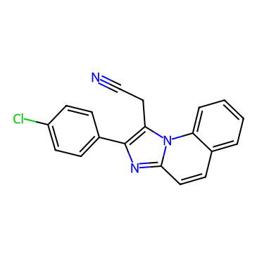 N#CCc1c(-c2ccc(Cl)cc2)nc2ccc3ccccc3n12